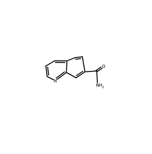 NC(=O)c1ccc2c[c]cnc2c1